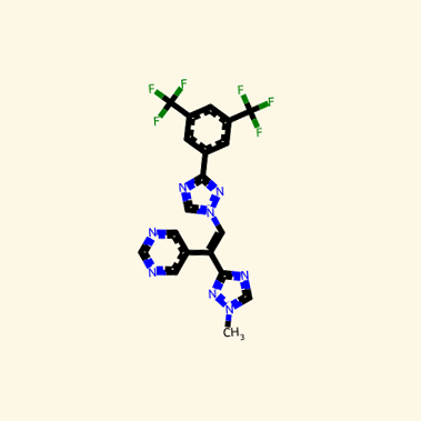 Cn1cnc(/C(=C/n2cnc(-c3cc(C(F)(F)F)cc(C(F)(F)F)c3)n2)c2cncnc2)n1